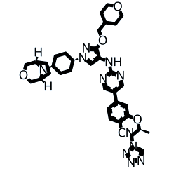 C[C@@H](Cn1cnnn1)Oc1cc(-c2cnc(Nc3cn([C@H]4CC[C@H](N5[C@@H]6CC[C@H]5COC6)CC4)nc3OCC3CCOCC3)nc2)ccc1C#N